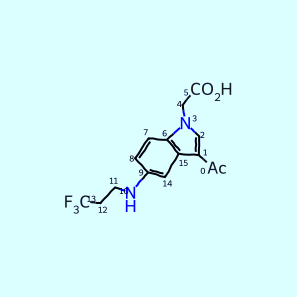 CC(=O)c1cn(CC(=O)O)c2ccc(NCCC(F)(F)F)cc12